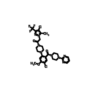 COc1cc(N2CCN(C(=O)Cn3nc(C(F)(F)F)c(Cl)c3C)CC2)c(C(=O)N2CCN(c3ncccn3)CC2)cc1Cl